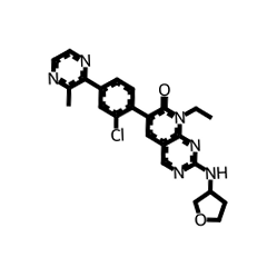 CCn1c(=O)c(-c2ccc(-c3nccnc3C)cc2Cl)cc2cnc(NC3CCOC3)nc21